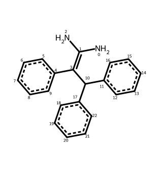 NC(N)=C(c1ccccc1)C(c1ccccc1)c1ccccc1